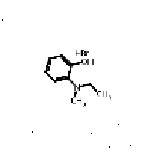 Br.CCN(C)c1ccccc1O